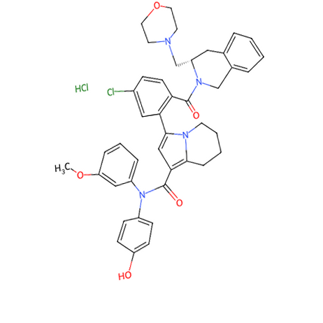 COc1cccc(N(C(=O)c2cc(-c3cc(Cl)ccc3C(=O)N3Cc4ccccc4C[C@H]3CN3CCOCC3)n3c2CCCC3)c2ccc(O)cc2)c1.Cl